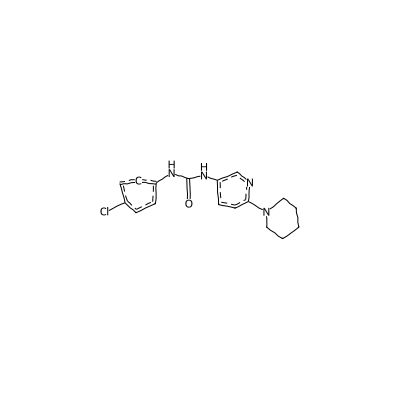 O=C(Nc1ccc(Cl)cc1)Nc1ccc(N2CCCCC2)nc1